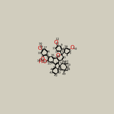 COc1ccc(C2(c3ccc(OC)cc3)C=Cc3c4c(c5cc(O)c(-c6ccc(OC)cc6OC)cc5c3O2)-c2ccccc2C42CC(C)(C)CC(C)(C)C2)cc1